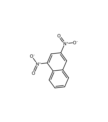 O=[N+]([O-])c1cc([N+](=O)[O-])c2ccccc2c1